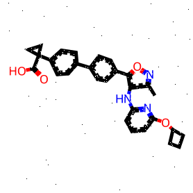 Cc1noc(-c2ccc(-c3ccc(C4(C(=O)O)CC4)cc3)cc2)c1Nc1cccc(OC2CCC2)n1